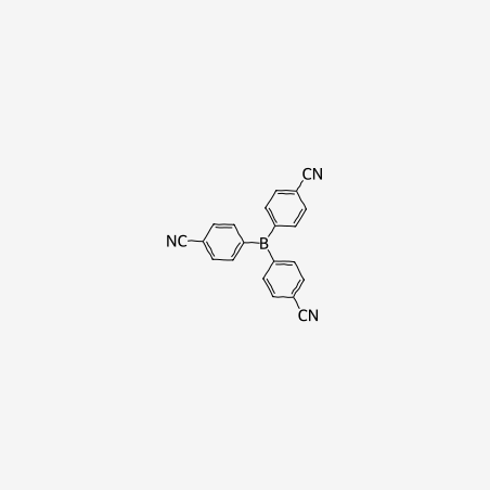 N#Cc1ccc(B(c2ccc(C#N)cc2)c2ccc(C#N)cc2)cc1